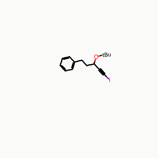 CC(C)(C)OC(C#CI)CCc1ccccc1